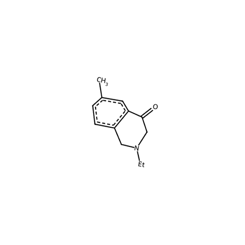 CCN1CC(=O)c2cc(C)ccc2C1